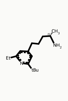 CCc1cc(CCC[C@H](C)N)cc(C(C)(C)C)n1